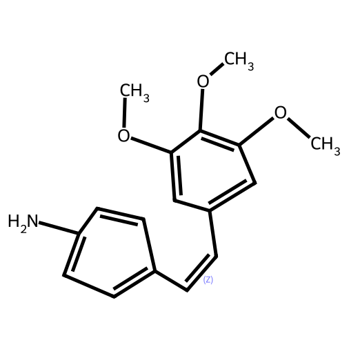 COc1cc(/C=C\c2ccc(N)cc2)cc(OC)c1OC